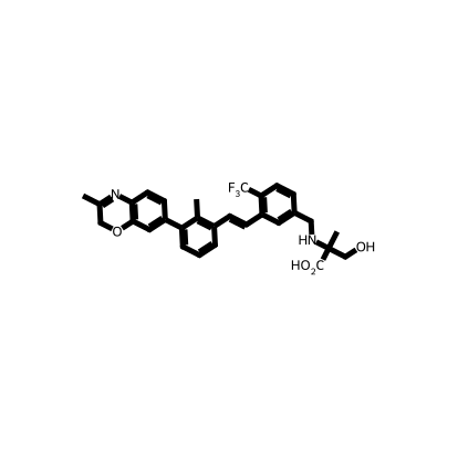 CC1=Nc2ccc(-c3cccc(/C=C/c4cc(CNC(C)(CO)C(=O)O)ccc4C(F)(F)F)c3C)cc2OC1